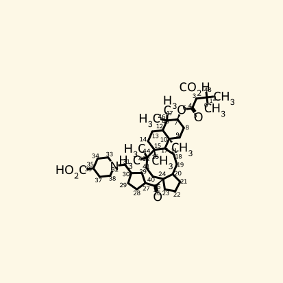 CC(C)(CC(=O)O[C@H]1CC[C@@]2(C)C(CC[C@]3(C)C2CCC2CCC[C@]2(C(=O)C2CCC(CN4CCC(C(=O)O)CC4)C2)CCC3(C)C)C1(C)C)C(=O)O